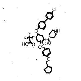 O=C(O)C(F)(F)F.O=C([C@H]1C[C@@H](Oc2ccc(-c3ccc(Cl)cc3)cc2)CCN1S(=O)(=O)c1ccc(OCC2CCCCC2)cc1)N1CCNCC1